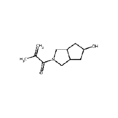 C=C(C)C(=O)N1CC2CC(O)CC2C1